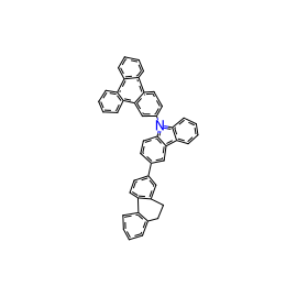 c1ccc2c(c1)CCc1cc(-c3ccc4c(c3)c3ccccc3n4-c3ccc4c5ccccc5c5ccccc5c4c3)ccc1-2